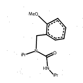 COc1ccccc1CN(C(=O)NC(C)C)C(C)C